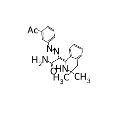 CC(=O)c1cccc(/N=N/C(C(N)=O)=C2/NC(C)(C)Cc3ccccc32)c1